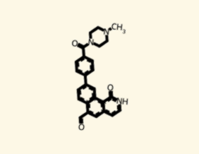 CN1CCN(C(=O)c2ccc(-c3ccc4c(C=O)cc5cc[nH]c(=O)c5c4c3)cc2)CC1